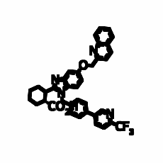 O=C(O)[C@@H]1CCCCC1c1nc2cc(OCc3ccc4ccccc4n3)ccc2n1Cc1ccc(-c2ccc(C(F)(F)F)nc2)cc1